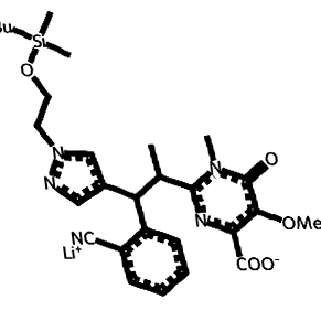 COc1c(C(=O)[O-])nc(C(C)C(c2cnn(CCO[Si](C)(C)C(C)(C)C)c2)c2ccccc2C#N)n(C)c1=O.[Li+]